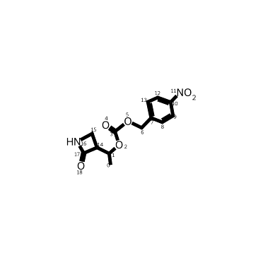 CC(OC(=O)OCc1ccc([N+](=O)[O-])cc1)C1CNC1=O